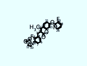 Cc1c(Cc2cccc(N3CCS3(=O)=O)c2F)c(=O)oc2cc(Oc3ncccc3F)ccc12